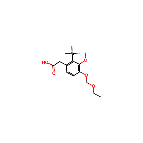 CCOCOc1ccc(CC(=O)O)c([Si](C)(C)C)c1OC